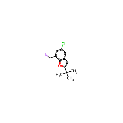 CC(C)(C)c1cc2cc(Cl)cc(CI)c2o1